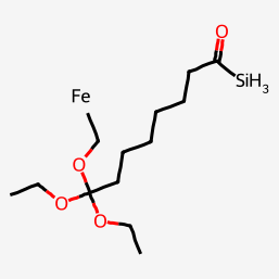 CCOC(CCCCCCC(=O)[SiH3])(OCC)OCC.[Fe]